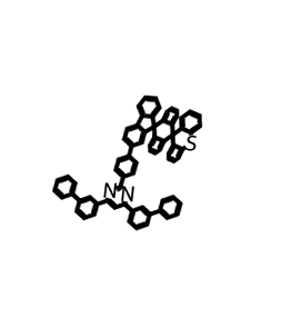 c1ccc(-c2cccc(-c3cc(-c4cccc(-c5ccccc5)c4)nc(-c4ccc(-c5ccc6c(c5)C5(c7ccccc7-6)c6ccccc6C6(c7ccccc7Sc7ccccc76)c6ccccc65)cc4)n3)c2)cc1